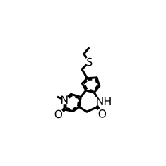 CCSCc1ccc2c(c1)-c1cn(C)c(=O)cc1CC(=O)N2